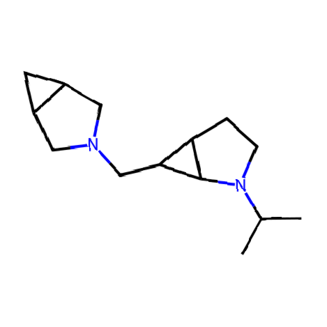 CC(C)N1CCC2C(CN3CC4CC4C3)C21